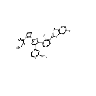 CC(C)(C)OC(=O)N1CCC1c1nc(-c2cccc(NSc3cc(F)ccc3F)c2F)c(-c2ccnc(N)n2)s1